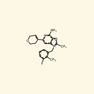 Cc1c(F)cccc1Cn1c(C)nc2c(N)nc(C3=CCOCC3)cc21